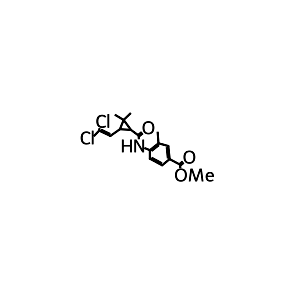 COC(=O)c1ccc(NC(=O)C2C(C=C(Cl)Cl)C2(C)C)c(C)c1